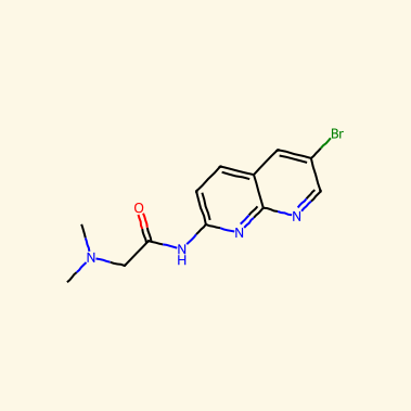 CN(C)CC(=O)Nc1ccc2cc(Br)cnc2n1